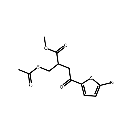 COC(=O)C(CSC(C)=O)CC(=O)c1ccc(Br)s1